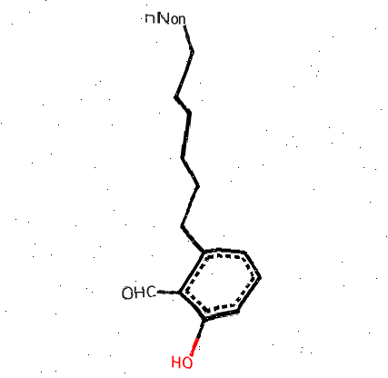 CCCCCCCCCCCCCCCc1cccc(O)c1C=O